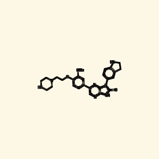 COc1cc(-c2cnc3[nH]c(=O)n(-c4ccc5c(c4)CCN5)c3n2)ccc1OCCN1CCNCC1